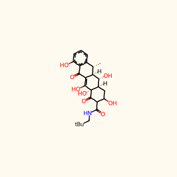 C[C@H]1c2cccc(O)c2C(=O)C2=C(O)[C@]3(O)C(=O)C(C(=O)NCC(C)(C)C)C(O)C[C@@H]3[C@@H](O)[C@@H]21